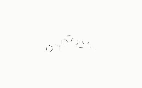 NC(=O)c1ccc(Oc2cccc3c2CC(NCc2ccccc2)C3)nc1